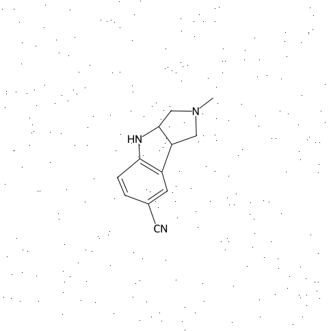 CN1CC2Nc3ccc(C#N)cc3C2C1